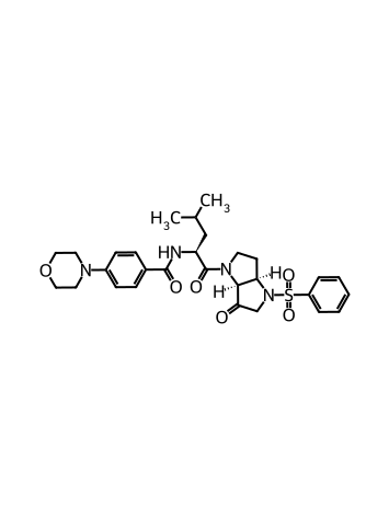 CC(C)C[C@H](NC(=O)c1ccc(N2CCOCC2)cc1)C(=O)N1CC[C@@H]2[C@H]1C(=O)CN2S(=O)(=O)c1ccccc1